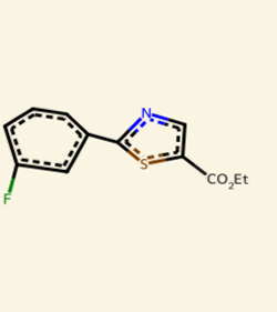 CCOC(=O)c1cnc(-c2cccc(F)c2)s1